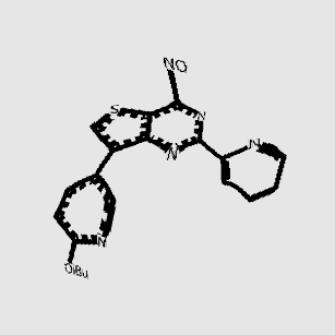 CC(C)COc1ccc(-c2csc3c(N=O)nc(C4=CCCC=N4)nc23)cn1